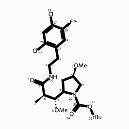 CO[C@@H]1CC([C@H](OC)[C@@H](C)C(=O)NCCc2cc(F)c(Cl)cc2Cl)N(C(=O)OC(C)(C)C)C1